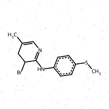 CSc1ccc(NC2=NC=C(C)CC2Br)cc1